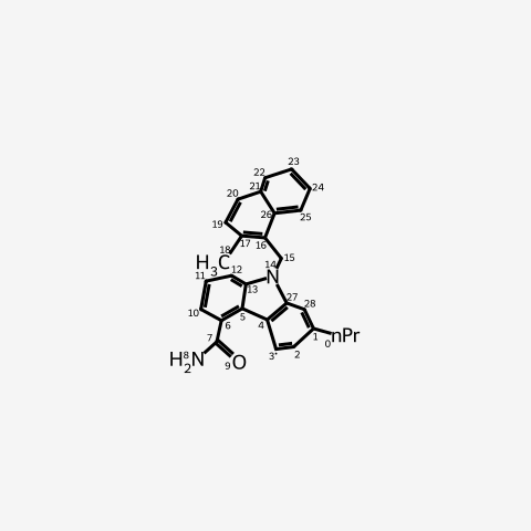 CCCc1c[c]c2c3c(C(N)=O)cccc3n(Cc3c(C)ccc4ccccc34)c2c1